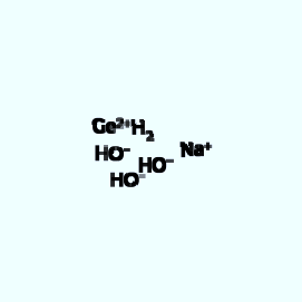 [GeH2+2].[Na+].[OH-].[OH-].[OH-]